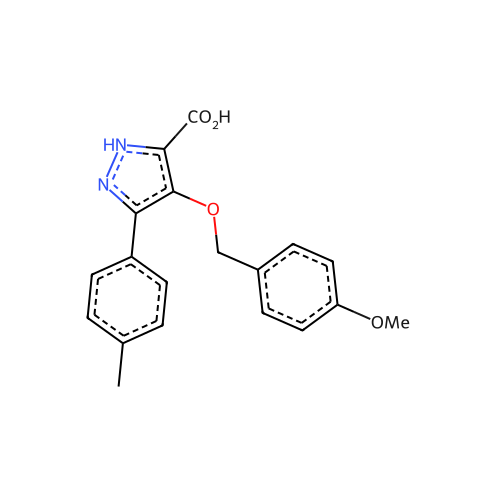 COc1ccc(COc2c(-c3ccc(C)cc3)n[nH]c2C(=O)O)cc1